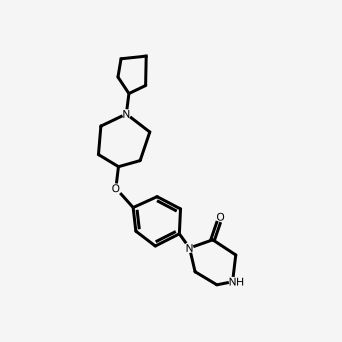 O=C1CNCCN1c1ccc(OC2CCN(C3CCCC3)CC2)cc1